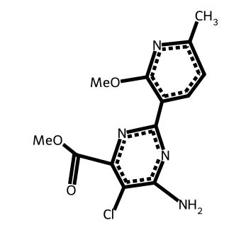 COC(=O)c1nc(-c2ccc(C)nc2OC)nc(N)c1Cl